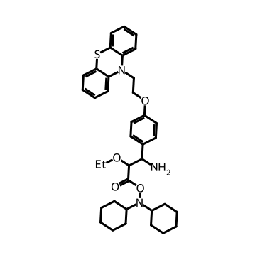 CCOC(C(=O)ON(C1CCCCC1)C1CCCCC1)C(N)c1ccc(OCCN2c3ccccc3Sc3ccccc32)cc1